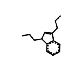 CCCC1=CC(CCC)c2ccccc21